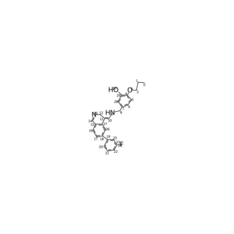 CCCOc1ccc(CNC=C2CN=Cc3ccc(-c4cccc(F)c4)cc32)cc1O